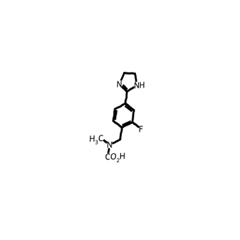 CN(Cc1ccc(C2=NCCN2)cc1F)C(=O)O